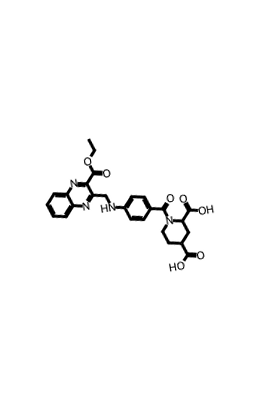 CCOC(=O)c1nc2ccccc2nc1CNc1ccc(C(=O)N2CCC(C(=O)O)CC2C(=O)O)cc1